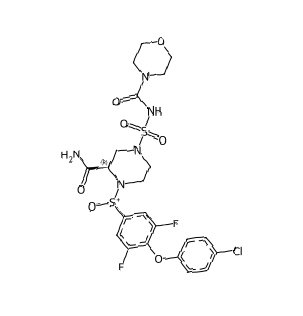 NC(=O)[C@H]1CN(S(=O)(=O)NC(=O)N2CCOCC2)CCN1[S+]([O-])c1cc(F)c(Oc2ccc(Cl)cc2)c(F)c1